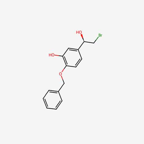 Oc1cc([C@@H](O)CBr)ccc1OCc1ccccc1